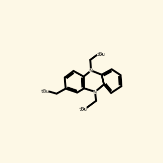 CC(C)(C)Cc1ccc2c(c1)N(CC(C)(C)C)c1ccccc1N2CC(C)(C)C